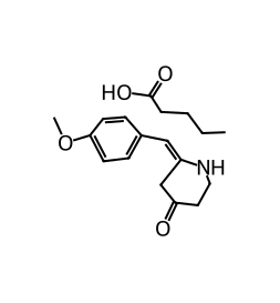 CCCCC(=O)O.COc1ccc(C=C2CC(=O)CCN2)cc1